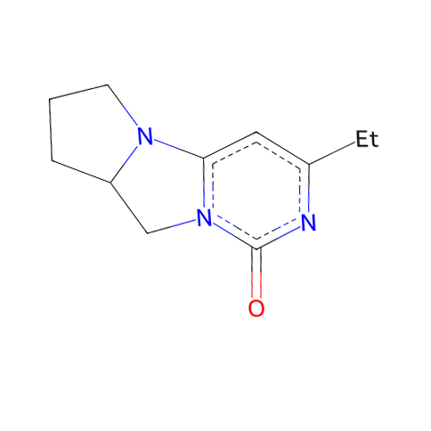 CCc1cc2n(c(=O)n1)CC1CCCN21